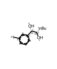 CCCC[C@H](O)[C@@H](O)c1cccc(I)c1